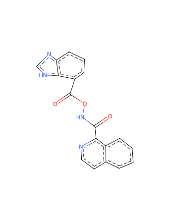 O=C(NOC(=O)c1cccc2nc[nH]c12)c1nccc2ccccc12